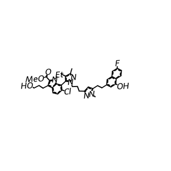 CCn1c(C(=O)OC)c(CCCO)c2ccc(Cl)c(-c3c(C)c(C)nn3CCCc3cc(CCc4cc(O)c5ccc(F)cc5c4)n(C)n3)c21